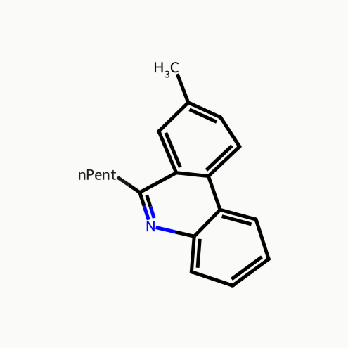 CCCCCc1nc2ccccc2c2ccc(C)cc12